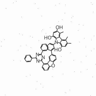 Cc1cc(O)c2c(c1C)c1c(C)c(O)cc(O)c1n2-c1cccc(-c2ccc3oc4cccc(-c5nc(-c6ccccc6)nc(-c6ccccc6)n5)c4c3c2)c1